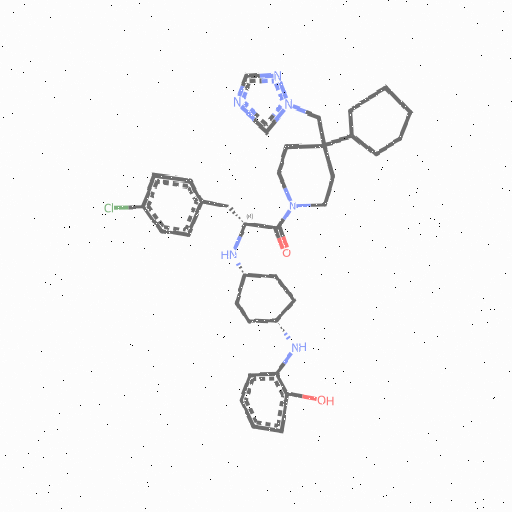 O=C([C@@H](Cc1ccc(Cl)cc1)N[C@H]1CC[C@@H](Nc2ccccc2O)CC1)N1CCC(Cn2cncn2)(C2CCCCC2)CC1